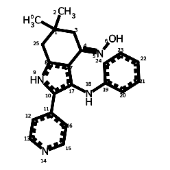 CC1(C)C/C(=N\O)c2c([nH]c(-c3ccncc3)c2Nc2ccccc2)C1